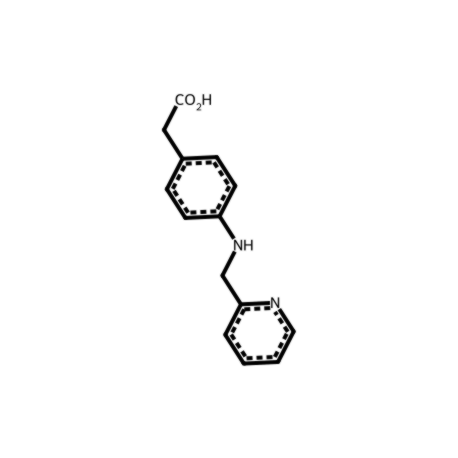 O=C(O)Cc1ccc(NCc2ccccn2)cc1